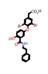 O=C(O)Cc1cc(Br)c(Oc2ccc(O)c(C(=O)NCCc3ccccc3)c2)c(Br)c1